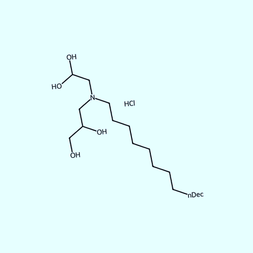 CCCCCCCCCCCCCCCCCCN(CC(O)O)CC(O)CO.Cl